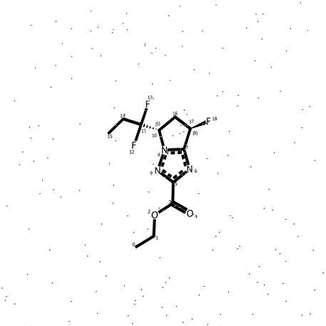 CCOC(=O)c1nc2n(n1)[C@H](C(F)(F)CC)C[C@H]2F